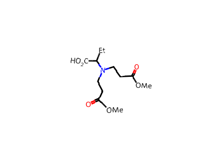 CCC(C(=O)O)N(CCC(=O)OC)CCC(=O)OC